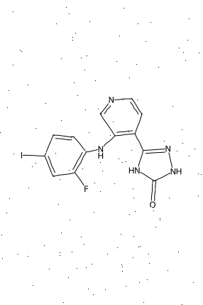 O=c1[nH]nc(-c2ccncc2Nc2ccc(I)cc2F)[nH]1